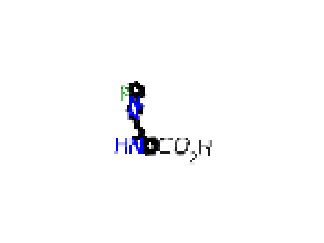 O=C(O)c1ccc2[nH]cc(CCCCN3CCN(c4ccccc4F)CC3)c2c1